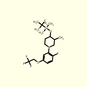 CC1CN(c2cc(OCC(F)(F)F)ccc2F)CCC1O[Si](C)(C)C(C)(C)C